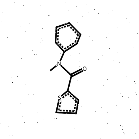 CN(C(=O)c1cccs1)c1ccccc1